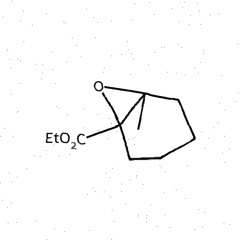 CCOC(=O)C12CCCCC1(C)O2